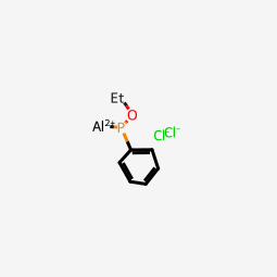 CCO[P]([Al+2])c1ccccc1.[Cl-].[Cl-]